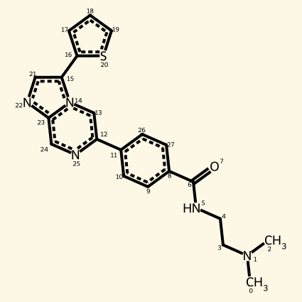 CN(C)CCNC(=O)c1ccc(-c2cn3c(-c4cccs4)cnc3cn2)cc1